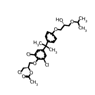 CC(=O)O[C@@H](CCl)COc1c(Cl)cc(C(C)(C)c2ccc(OC[C@H](O)COC(C)C)cc2)cc1Cl